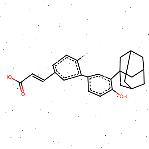 O=C(O)/C=C/c1ccc(F)c(-c2ccc(O)c(C34CC5CC(CC(C5)C3)C4)c2)c1